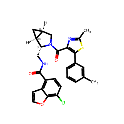 Cc1cccc(-c2sc(C)nc2C(=O)N2C[C@@H]3C[C@@H]3[C@H]2CNC(=O)c2ccc(Cl)c3occc23)c1